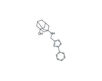 OC12CC3CC(C1)CC(NCc1ccc(-c4ccccc4)s1)(C3)C2